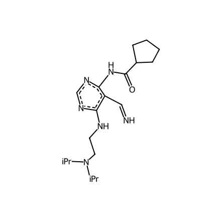 CC(C)N(CCNc1ncnc(NC(=O)C2CCCC2)c1C=N)C(C)C